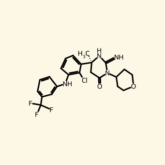 C[C@@]1(c2cccc(Nc3cccc(C(F)(F)F)c3)c2Cl)CC(=O)N(C2CCOCC2)C(=N)N1